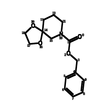 O=C(OCc1ccccc1)N1CCCC2(C1)OCCO2